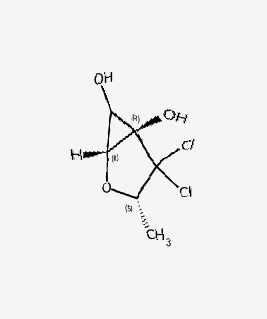 C[C@@H]1O[C@@H]2C(O)[C@]2(O)C1(Cl)Cl